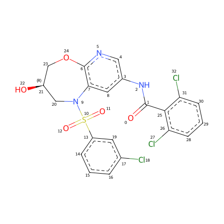 O=C(Nc1cnc2c(c1)N(S(=O)(=O)c1cccc(Cl)c1)C[C@@H](O)CO2)c1c(Cl)cccc1Cl